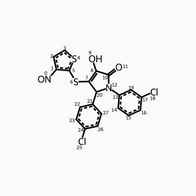 O=Nc1ccsc1SC1=C(O)C(=O)N(c2cccc(Cl)c2)C1c1ccc(Cl)cc1